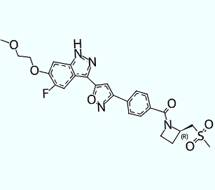 COCCOc1cc2[nH]nc(-c3cc(-c4ccc(C(=O)N5CC[C@@H]5CS(C)(=O)=O)cc4)no3)c2cc1F